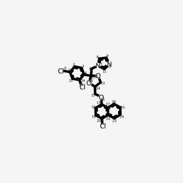 Clc1ccc(C2(Cn3ccnc3)OCC(COc3ccc(Cl)c4ccccc34)O2)c(Cl)c1